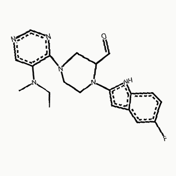 CCN(C)c1cncnc1N1CCN(c2cc3cc(F)ccc3[nH]2)C(C=O)C1